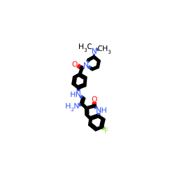 CN(C)[C@H]1CCCN(C(=O)c2ccc(N/C=C(\N)c3cc4ccc(F)cc4[nH]c3=O)cc2)C1